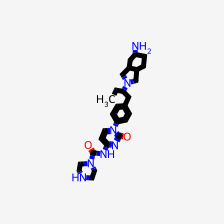 CCC(Cc1ccc(-n2ccc(NC(=O)N3CCNCC3)nc2=O)cc1)N1CC2CCC(N)CC2C1